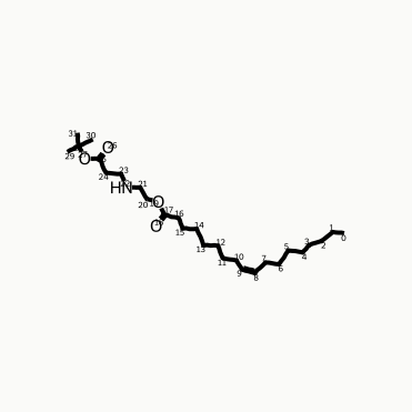 CCCCCCCC/C=C\CCCCCCCC(=O)OCCNCCC(=O)OC(C)(C)C